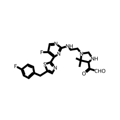 CC1(C)C(C(=O)C=O)NCN1CCNc1ncc(F)c(-c2ncc(Cc3ccc(F)cc3)s2)n1